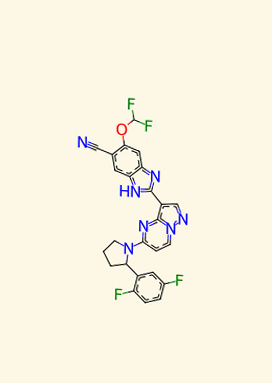 N#Cc1cc2[nH]c(-c3cnn4ccc(N5CCCC5c5cc(F)ccc5F)nc34)nc2cc1OC(F)F